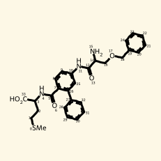 CSCCC(NC(=O)c1ccc(NC(=O)C(N)COCc2ccccc2)cc1-c1ccccc1)C(=O)O